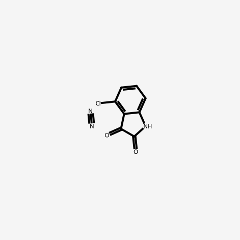 N#N.O=C1Nc2cccc(Cl)c2C1=O